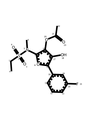 CCS(=O)(=O)N(C)c1oc(-c2cccc(F)c2)c(O)c1OC(C)=O